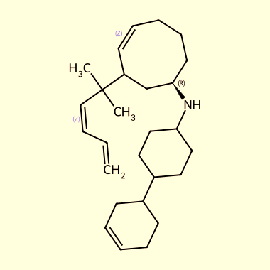 C=C/C=C\C(C)(C)C1/C=C\CCC[C@@H](NC2CCC(C3CC=CCC3)CC2)C1